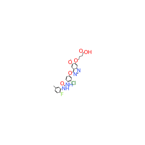 COc1cc2c(Oc3ccc(NC(=O)Nc4cc(C)ccc4F)c(Cl)c3)ncnc2cc1OCCCC(=O)O